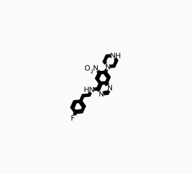 O=[N+]([O-])c1cc2c(NCCc3ccc(F)cc3)ncnc2cc1N1CCNCC1